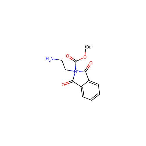 CC(C)(C)OC(=O)[N+]1(CCN)C(=O)c2ccccc2C1=O